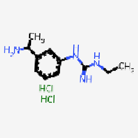 CCNC(=N)Nc1cccc(C(C)N)c1.Cl.Cl